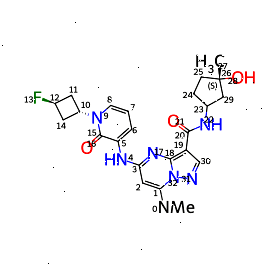 CNc1cc(Nc2cccn([C@H]3C[C@H](F)C3)c2=O)nc2c(C(=O)NC3CC[C@](C)(O)C3)cnn12